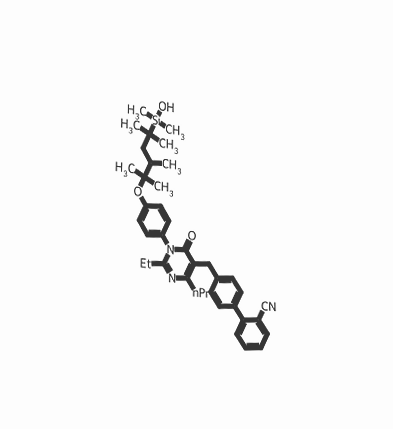 CCCc1nc(CC)n(-c2ccc(OC(C)(C)C(C)CC(C)(C)[Si](C)(C)O)cc2)c(=O)c1Cc1ccc(-c2ccccc2C#N)cc1